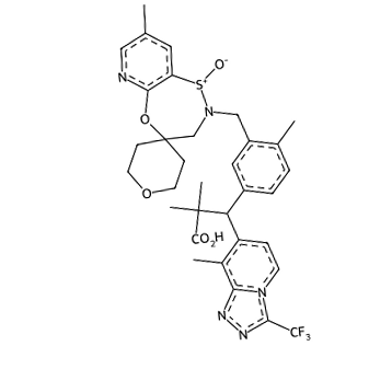 Cc1cnc2c(c1)[S+]([O-])N(Cc1cc(C(c3ccn4c(C(F)(F)F)nnc4c3C)C(C)(C)C(=O)O)ccc1C)CC1(CCOCC1)O2